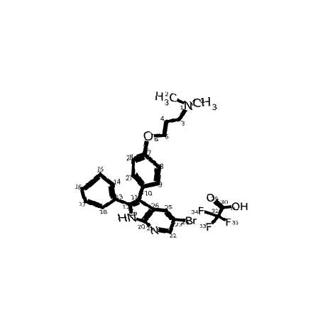 CN(C)CCCOc1ccc(-c2c(-c3ccccc3)[nH]c3ncc(Br)cc23)cc1.O=C(O)C(F)(F)F